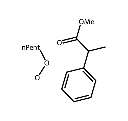 CCCCCO[O].COC(=O)C(C)c1ccccc1